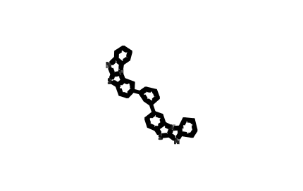 c1cc(-c2ccc3sc4nc5ccccc5n4c3c2)cc(-c2ccc3sc4nc5ccccc5n4c3c2)c1